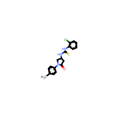 Cc1ccc(N2CC(NC(=S)Nc3ccccc3Cl)CC2=O)cc1